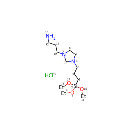 CCO[Si](CCCN1CCN(CCCN)C1)(OCC)OCC.Cl